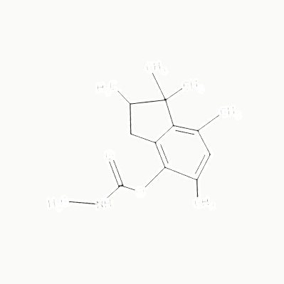 CNC(=O)Oc1c(C)cc(C)c2c1CC(C)C2(C)C